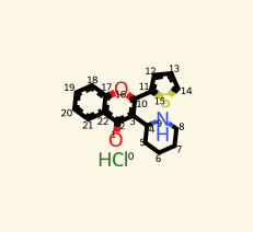 Cl.O=c1c(C2CCCCN2)c(-c2cccs2)oc2ccccc12